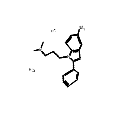 CN(C)CCCn1c(-c2ccccc2)cc2cc(N)ccc21.Cl.Cl